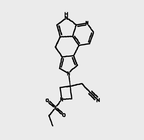 CCS(=O)(=O)N1CC(CC#N)(n2cc3c(c2)-c2ccnc4[nH]cc(c24)C3)C1